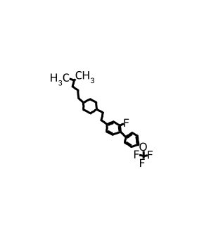 CC(C)CCCC1CCC(CCc2ccc(-c3ccc(OC(F)(F)F)cc3)c(F)c2)CC1